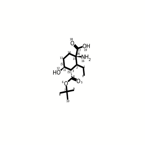 CCC1[C@H](C(=O)OC(C)(C)C)[C@@H](O)CC[C@]1(N)C(=O)O